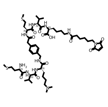 CSCC[C@H](NC(=O)Cc1ccc(CNC(=O)[C@H](CCCCN(C)C)NC(=O)[C@@H](NC(=O)[C@@H](N)CCSC)C(C)C)cc1)C(=O)N[C@H](C(=O)N[C@@H](CCCCNC(=O)CCCCCN1C(=O)C=CC1=O)C(=O)O)C(C)C